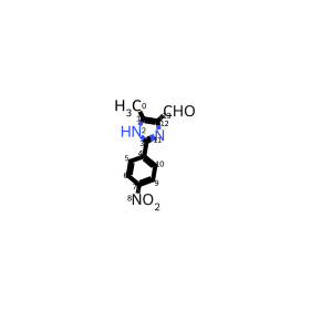 Cc1[nH]c(-c2ccc([N+](=O)[O-])cc2)nc1C=O